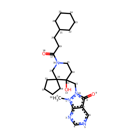 Cn1c2ncncc2c(=O)n1CC1(O)CCN(C(=O)CCC2CCCCC2)CC12CCCC2